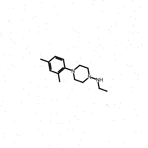 CCNN1CCN(c2ccc(C)cc2C)CC1